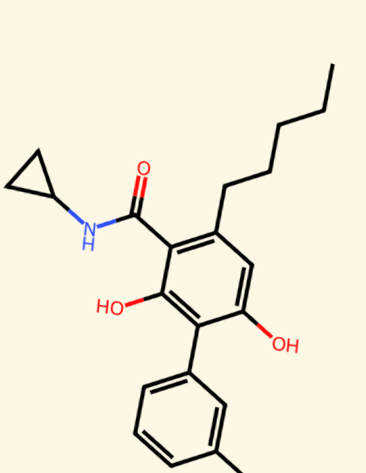 CCCCCc1cc(O)c(-c2cccc(C)c2)c(O)c1C(=O)NC1CC1